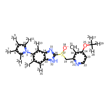 [2H]c1c(-n2c([2H])c([2H])c([2H])c2[2H])c([2H])c2nc([S+]([O-])Cc3nccc(OC([2H])([2H])[2H])c3C)[nH]c2c1[2H]